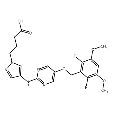 COc1cc(OC)c(F)c(COc2cnc(Nc3cnn(CCCC(=O)O)c3)nc2)c1F